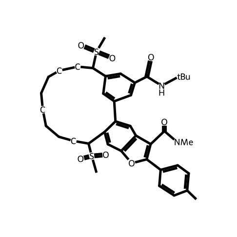 CNC(=O)c1c(-c2ccc(C)cc2)oc2cc3c(cc12)-c1cc(C(=O)NC(C)(C)C)cc(c1)C(S(C)(=O)=O)CCCCCCCCC3S(C)(=O)=O